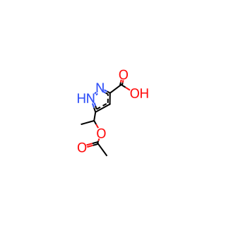 CC(=O)OC(C)c1cc(C(=O)O)n[nH]1